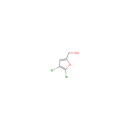 OCc1cc(Br)c(Br)o1